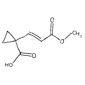 COC(=O)/C=C/C1(C(=O)O)CC1